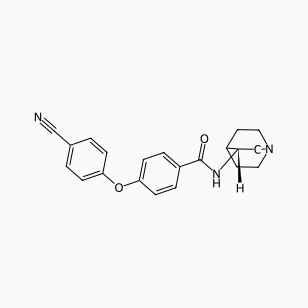 N#Cc1ccc(Oc2ccc(C(=O)N[C@H]3CN4CCC3CC4)cc2)cc1